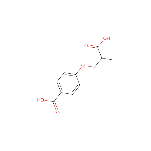 CC(COc1ccc(C(=O)O)cc1)C(=O)O